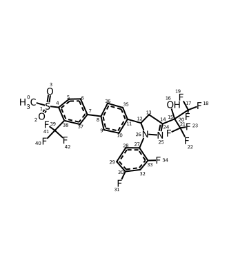 CS(=O)(=O)c1ccc(-c2ccc(C3CC(C(O)(C(F)(F)F)C(F)(F)F)=NN3c3ccc(F)cc3F)cc2)cc1C(F)(F)F